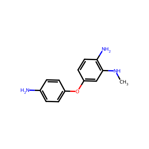 CNc1cc(Oc2ccc(N)cc2)ccc1N